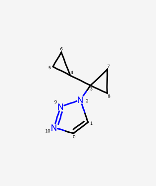 c1cn(C2(C3CC3)CC2)nn1